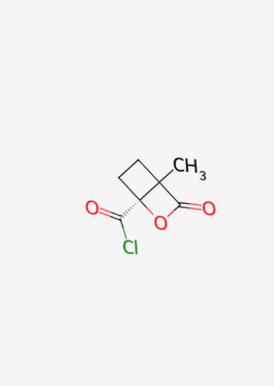 CC12CC[C@]1(C(=O)Cl)OC2=O